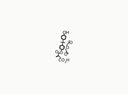 C(OCC1CO1)C1CO1.C=C(CC(=O)O)C(=O)Oc1ccc(C(C)(C)c2ccc(O)cc2)cc1